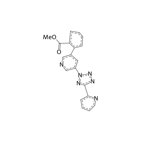 COC(=O)c1ccccc1-c1cncc(-n2nnc(-c3ccccn3)n2)c1